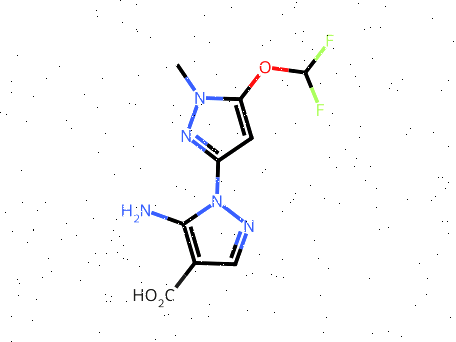 Cn1nc(-n2ncc(C(=O)O)c2N)cc1OC(F)F